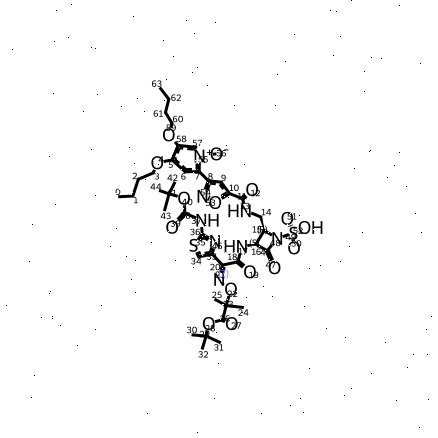 CCCCOc1cc(-c2cc(C(=O)NC[C@@H]3[C@H](NC(=O)/C(=N\OC(C)(C)C(=O)OC(C)(C)C)c4csc(NC(=O)OC(C)(C)C)n4)C(=O)N3S(=O)(=O)O)on2)[n+]([O-])cc1OCCCC